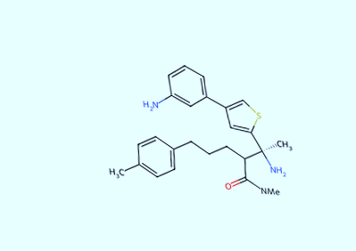 CNC(=O)C(CCCc1ccc(C)cc1)[C@](C)(N)c1cc(-c2cccc(N)c2)cs1